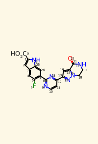 O=C(O)c1cc2cc(F)c(-c3nccc(-c4cc5n(n4)CCNC5=O)n3)cc2[nH]1